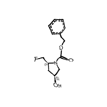 O=C(OCc1ccccc1)N1C[C@@H](O)C[C@H]1CF